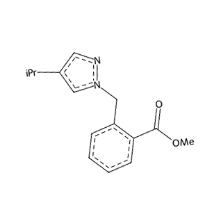 COC(=O)c1ccccc1Cn1cc(C(C)C)cn1